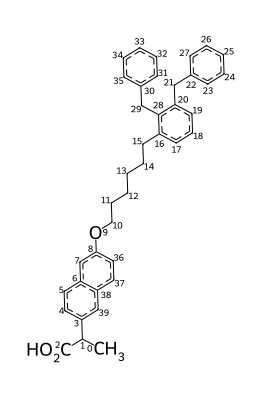 CC(C(=O)O)c1ccc2cc(OCCCCCCc3cccc(Cc4ccccc4)c3Cc3ccccc3)ccc2c1